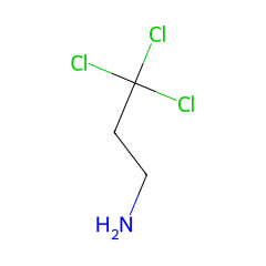 NCCC(Cl)(Cl)Cl